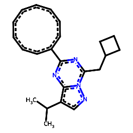 CC(C)c1cnn2c(CC3CCC3)nc(-c3ccccccccc3)nc12